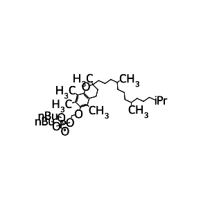 CCCCOP(=O)(OCCCC)OCOc1c(C)c(C)c2c(c1C)CCC(C)(CCCC(C)CCCC(C)CCCC(C)C)O2